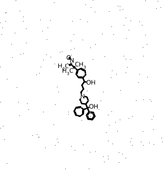 C=C(N=O)C(C)(C)C1=CC=C(C(O)CCCN2CCC(C(O)(C3=CCC=CC=C3)c3ccccc3)CC2)CC=C1